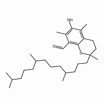 Cc1c(O)c(C)c2c(c1C=O)OC(C)(CCCC(C)CCCC(C)CCCC(C)C)CC2